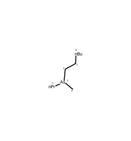 CCCCCC[As](C)CCC